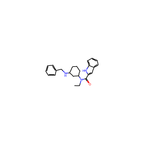 CCN(C(=O)c1cc2ccccc2[nH]1)C1CCCC(NCc2ccccc2)C1